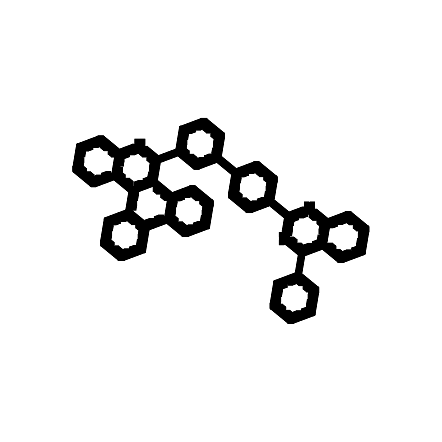 c1ccc(-c2nc(-c3ccc(-c4cccc(-c5nc6ccccc6c6c7ccccc7c7ccccc7c56)c4)cc3)nc3ccccc23)cc1